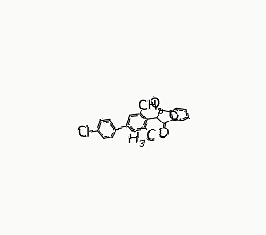 Cc1cc(-c2ccc(Cl)cc2)cc(C)c1C1C(=O)c2c(c3ccc2o3)C1=O